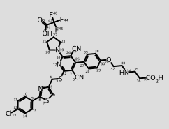 N#Cc1c(SCc2csc(-c3ccc(Cl)cc3)n2)nc(N2CCCC2)c(C#N)c1-c1ccc(OCCNCCC(=O)O)cc1.O=C(O)C(F)(F)F